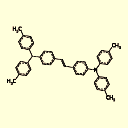 Cc1ccc(C(c2ccc(C)cc2)c2ccc(/C=C/c3ccc(N(c4ccc(C)cc4)c4ccc(C)cc4)cc3)cc2)cc1